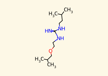 CC(C)CCNC(=N)NCCOCC(C)C